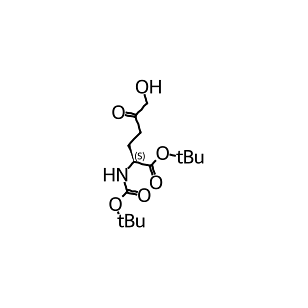 CC(C)(C)OC(=O)N[C@@H](CCC(=O)CO)C(=O)OC(C)(C)C